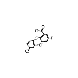 O=C(Cl)c1cc(F)ccc1Sc1ccc(Cl)cc1Cl